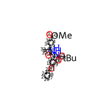 COC(=O)c1ccc([C@H](NC(=O)C(NC(=O)OC(C)(C)C)c2ccc(OCc3ccccc3)cc2)C2CC2)cc1